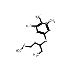 CCC(CCOC)Oc1cc(C)c(N)c(C)c1